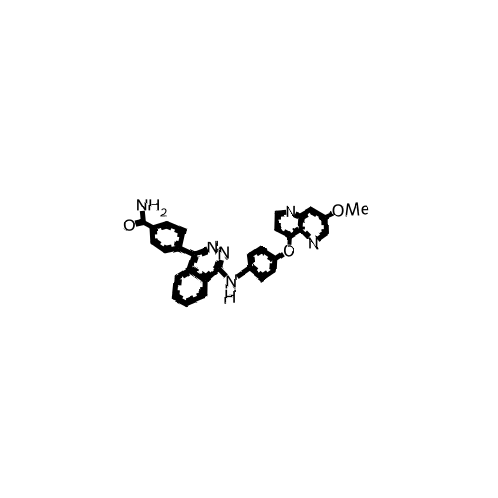 COc1cnc2c(Oc3ccc(Nc4nnc(-c5ccc(C(N)=O)cc5)c5ccccc45)cc3)ccnc2c1